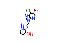 O[C@H]1CCCN[C@@H]1CCCn1cnc2c(Cl)c(Br)cnc21